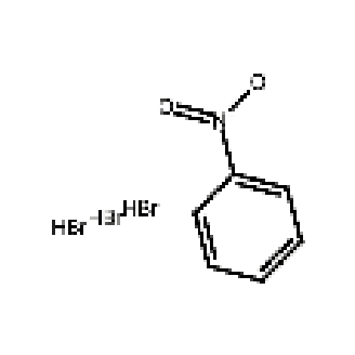 Br.Br.Br.O=[N+]([O-])c1ccccc1